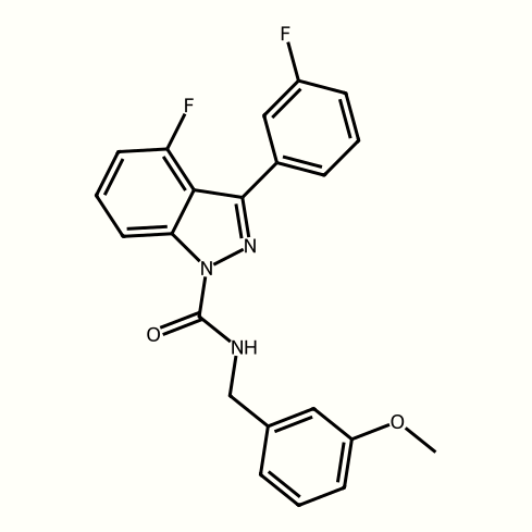 COc1cccc(CNC(=O)n2nc(-c3cccc(F)c3)c3c(F)cccc32)c1